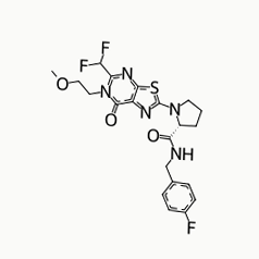 COCCn1c(C(F)F)nc2sc(N3CCC[C@@H]3C(=O)NCc3ccc(F)cc3)nc2c1=O